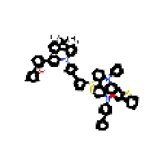 CC1(C)c2ccccc2-c2c(N(c3ccc(-c4cccc([SH]5c6ccc(N(c7ccc(-c8ccccc8)cc7)c7ccc8sc9ccccc9c8c7)cc6-c6c(N(c7ccccc7)c7ccccc7)cccc65)c4)cc3)c3ccc(-c4cccc5c4oc4ccccc45)cc3)cccc21